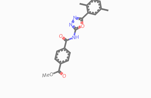 COC(=O)c1ccc(C(=O)Nc2nnc(-c3cc(C)ccc3C)o2)cc1